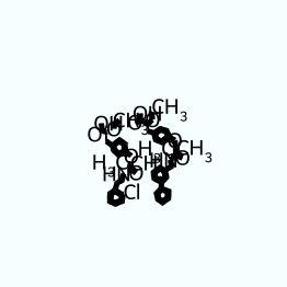 CCO[C@@H](Cc1ccc(OC(C)(C)C(=O)NCCc2ccccc2Cl)cc1)C(=O)O.CCO[C@@H](Cc1ccc(OC(C)(C)C(=O)NCc2cccc(-c3ccccc3)c2)cc1)C(=O)O